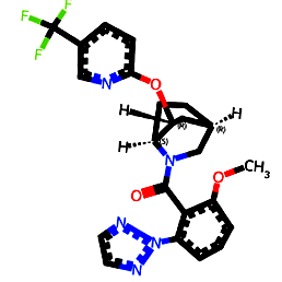 COc1cccc(-n2nccn2)c1C(=O)N1C[C@@H]2CC[C@H]1[C@H](Oc1ccc(C(F)(F)F)cn1)C2